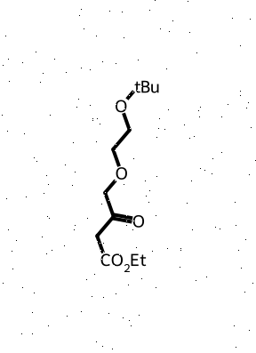 CCOC(=O)CC(=O)COCCOC(C)(C)C